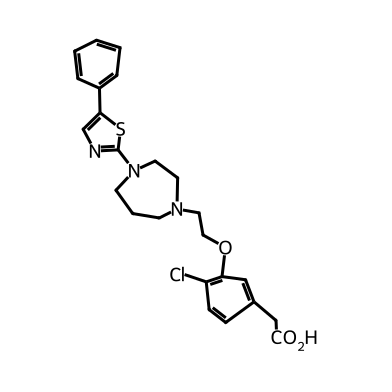 O=C(O)Cc1ccc(Cl)c(OCCN2CCCN(c3ncc(-c4ccccc4)s3)CC2)c1